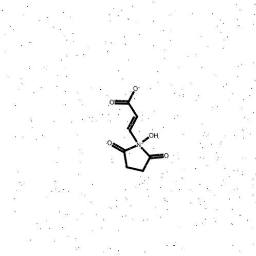 O=C([O-])C=C[N+]1(O)C(=O)CCC1=O